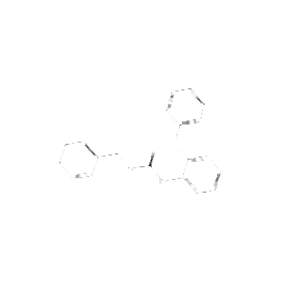 S=C(NCC1=CCCC=C1)Nc1ccccc1Oc1ccccc1